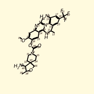 COc1cc2nc(C)nc(NC(C)c3cc(N)cc(C(F)(F)F)c3)c2cc1OC(=O)N1CCC2(CC1)COC(C)C2N